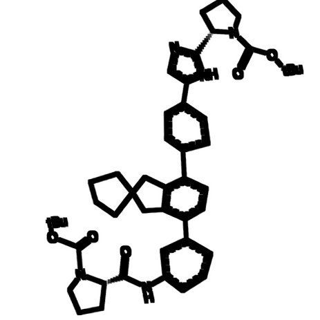 CC(C)(C)OC(=O)N1CCC[C@H]1C(=O)Nc1cccc(-c2ccc(-c3ccc(-c4cnc([C@@H]5CCCN5C(=O)OC(C)(C)C)[nH]4)cc3)c3c2CC2(CCCC2)C3)c1